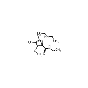 CCNC(=O)c1sc(C)c(C)c1OC.CCNCC